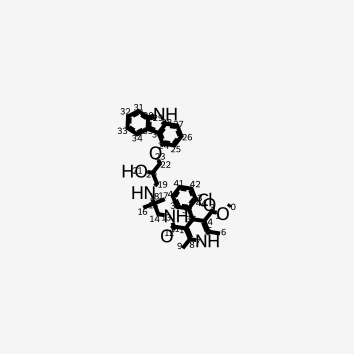 COC(=O)C1=C(C)NC(C)=C(C(=O)NCC(C)(C)NCC(O)COc2cccc3[nH]c4ccccc4c23)C1c1ccccc1Cl